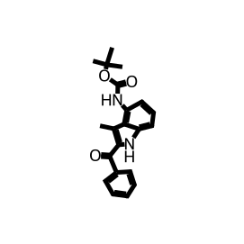 Cc1c(C(=O)c2ccccc2)[nH]c2cccc(NC(=O)OC(C)(C)C)c12